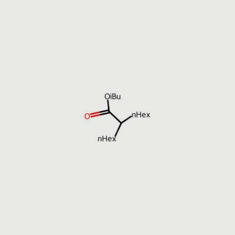 CCCCCCC(CCCCCC)C(=O)OCC(C)C